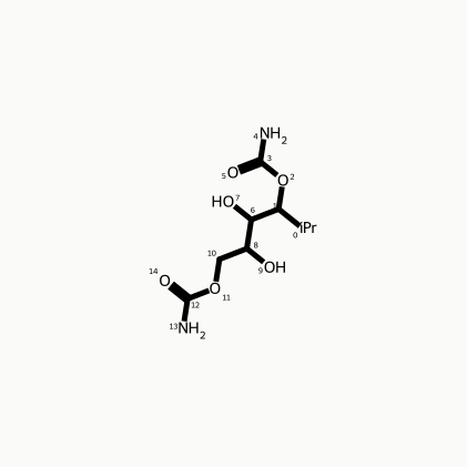 CC(C)C(OC(N)=O)C(O)C(O)COC(N)=O